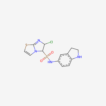 O=S(=O)(Nc1ccc2c(c1)CCN2)C1C(Cl)N=C2SC=CN21